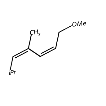 COC/C=C\C(C)=C/C(C)C